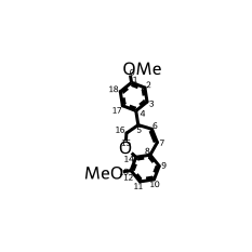 COc1ccc(C2C=Cc3cccc(OC)c3OC2)cc1